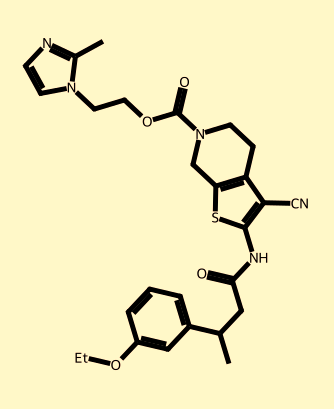 CCOc1cccc(C(C)CC(=O)Nc2sc3c(c2C#N)CCN(C(=O)OCCn2ccnc2C)C3)c1